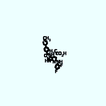 CC(=O)O.CN1CCC(c2ccc(C(=O)Nc3n[nH]c4nc(Nc5ccc(F)cc5F)ccc34)cc2)CC1